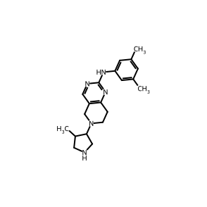 Cc1cc(C)cc(Nc2ncc3c(n2)CCN(C2CNCC2C)C3)c1